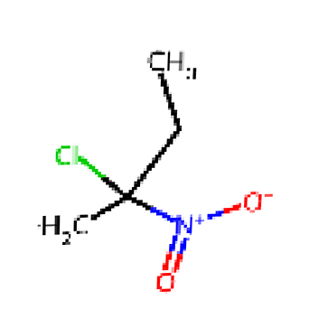 [CH2]C(Cl)(CC)[N+](=O)[O-]